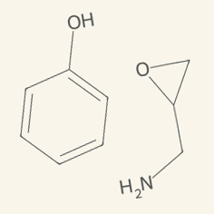 NCC1CO1.Oc1ccccc1